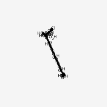 O=C(CCCCCCO[C@]1(C(=O)O)C[C@H](O)[C@@H](NC(=O)CO)[C@H]([C@H](O)[C@H](O)CNC(=O)Cc2ccc(Cl)cc2)O1)NCCOCCOCCOCCOCCNC(=O)CCOCCOCCOCCOCCNC(=O)CCCC[C@H]1SC[C@H]2NC(=O)N[C@H]21